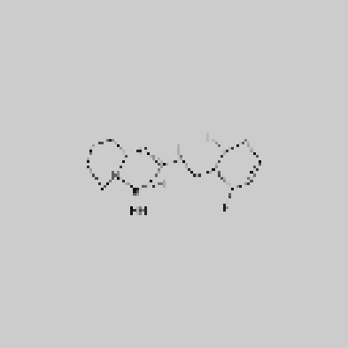 N=C(NCC1=C(F)C=CCC1F)NC(=N)N1CCCCC1